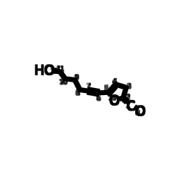 O=C=C1CC=C(C#CCCCCO)O1